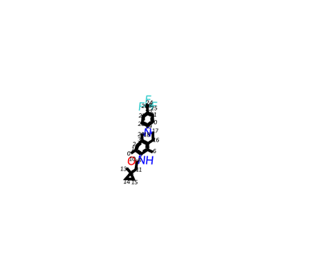 Cc1cc2c(c(C)c1NC(=O)CC1(C)CC1)CCN(c1ccc(C(F)(F)F)cc1)C2